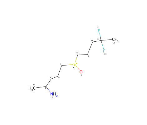 CC(N)CCC[S+]([O-])CCCC(F)(F)C(F)(F)F